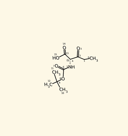 CCC(=O)[C@H](NC(=O)OC(C)(C)C)C(=O)O